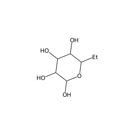 [CH2]CC1OC(O)C(O)C(O)C1O